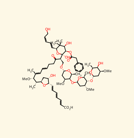 CO[C@H]1C[C@H](O[C@H]2[C@H](C)O[C@H](O[C@@H]3[C@H](C)O[C@@H](OC[C@@H](C(=O)CC/C=C/C=C(\C)[C@@H](OC)[C@@H](C)[C@H]4C[C@H](O)[C@H](/C=C/C=C/C=C/C(=O)O)O4)[C@@]4(O)O[C@@H](/C=C/C=C\CO)C(C)(C)[C@@H](O)[C@H]4OC(=O)Cc4ccccc4)C[C@@H]3OC)C[C@H]2OC)O[C@@H](C)[C@H]1O